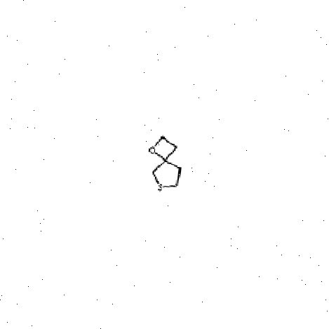 C1CC2(CCSC2)O1